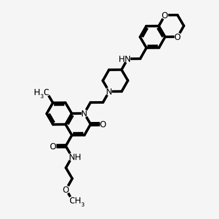 COCCNC(=O)c1cc(=O)n(CCN2CCC(NCc3ccc4c(c3)OCCO4)CC2)c2cc(C)ccc12